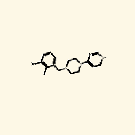 Cc1c(Br)cccc1CN1CCN(C2=CCNC=N2)CC1